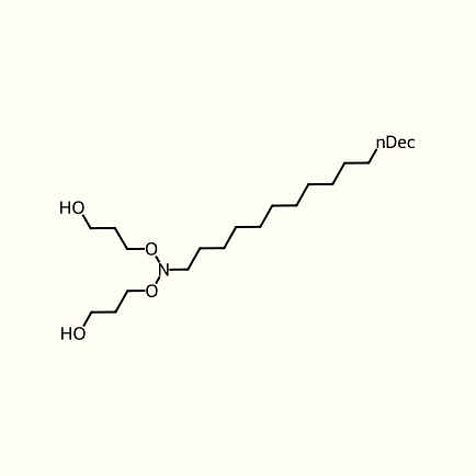 CCCCCCCCCCCCCCCCCCCCCN(OCCCO)OCCCO